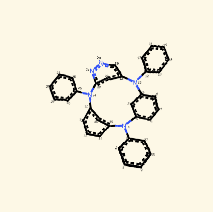 c1ccc(N2c3cccc(c3)N(c3ccccc3)c3cnnc(c3)N(c3ccccc3)c3cccc2c3)cc1